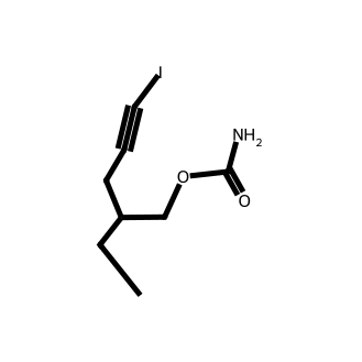 CCC(CC#CI)COC(N)=O